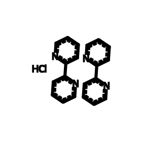 Cl.c1ccc(-c2ccccn2)nc1.c1ccc(-c2ccccn2)nc1